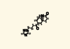 O=C1CCc2cc(C(=O)CCCn3cncn3)ccc2N1